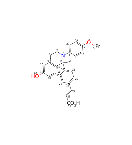 CC(C)Oc1ccc(N2CCc3cc(O)ccc3C2(C)c2ccc(C=CC(=O)O)cc2)cc1